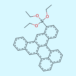 CCO[Si](OCC)(OCC)c1cccc2c1cc1c3ccccc3cc3c4cccc5cccc(c54)c2c13